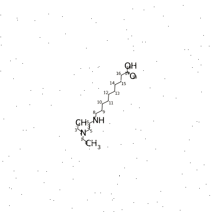 CCN(CC)CCNCCCCCCCCCC(=O)O